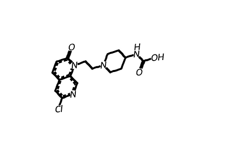 O=C(O)NC1CCN(CCn2c(=O)ccc3cc(Cl)ncc32)CC1